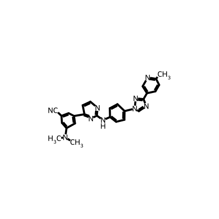 Cc1ccc(-c2ncn(-c3ccc(Nc4nccc(-c5cc(C#N)cc(N(C)C)c5)n4)cc3)n2)cn1